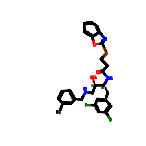 CCc1cccc(CNC[C@H](O)[C@@H](Cc2cc(F)cc(F)c2)NC(=O)CCSc2nc3ccccc3o2)c1